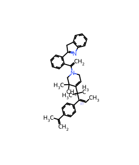 C=C(C)c1ccc(/C(=C/C)C(C)(C)C2=CCN(C(=C)c3ccccc3C3=Nc4ccccc4C3)CC2(C)C)cc1